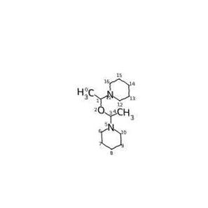 CC(OC(C)N1CCCCC1)N1CCCCC1